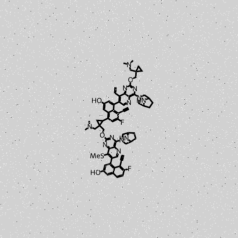 C#Cc1c(F)ccc2cc(O)cc(-c3cnc4c(N5CC6CCC(C5)N6)nc(OCC5(CN(C)C)CC5c5cc(F)c(C#C)c6c(-c7cnc8c(N9CC%10CCC(C9)N%10)nc(OCC9(CN(C)C)CC9)nc8c7C=C)cc(O)cc56)nc4c3SC)c12